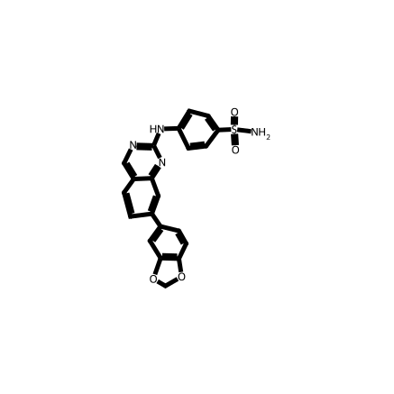 NS(=O)(=O)c1ccc(Nc2ncc3ccc(-c4ccc5c(c4)OCO5)cc3n2)cc1